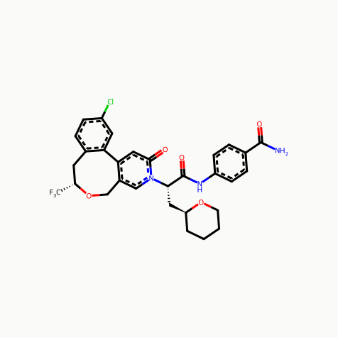 NC(=O)c1ccc(NC(=O)[C@H](C[C@@H]2CCCCO2)n2cc3c(cc2=O)-c2cc(Cl)ccc2C[C@@H](C(F)(F)F)OC3)cc1